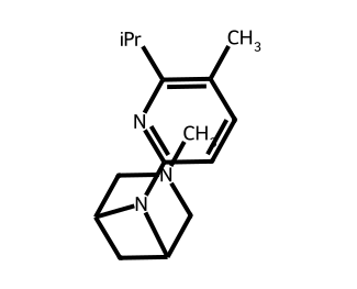 Cc1ccc(N2C3CC2CN(C)C3)nc1C(C)C